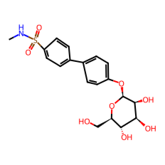 CNS(=O)(=O)c1ccc(-c2ccc(O[C@@H]3O[C@H](CO)[C@@H](O)[C@H](O)[C@@H]3O)cc2)cc1